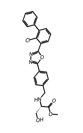 COC(=O)[C@H](CO)NCc1ccc(-c2nnc(-c3cccc(-c4ccccc4)c3Cl)o2)cc1